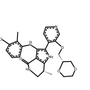 Cc1c(Cl)cccc1Nc1c(-c2ccncc2OC[C@@H]2COCCO2)[nH]c2c1C(=O)NC[C@H]2C